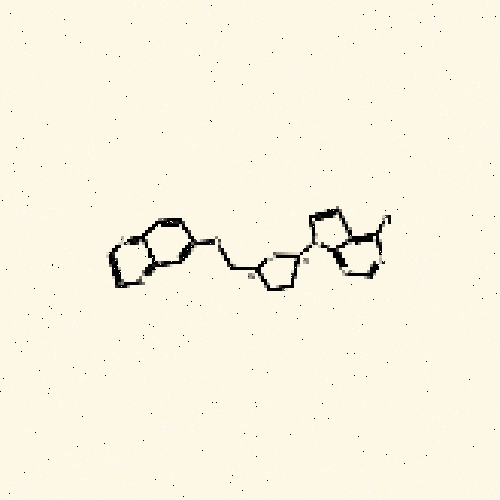 Clc1ncnc2c1ccn2[C@H]1CC[C@@H](COc2ccc3nccnc3c2)O1